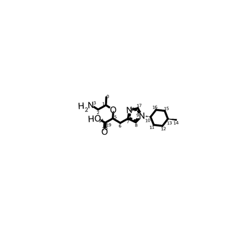 CC(CN)OC(Cc1cn([C@H]2CC[C@H](C)CC2)cn1)C(=O)O